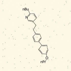 CCCCc1ccc(CCc2ccc(-c3ccc(OCCC)cc3)cc2)cn1